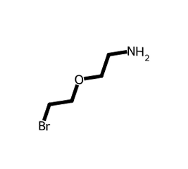 NCCOCCBr